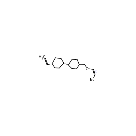 C=C[C@H]1CC[C@H](C2CCC(CO/C=C\CC)CC2)CC1